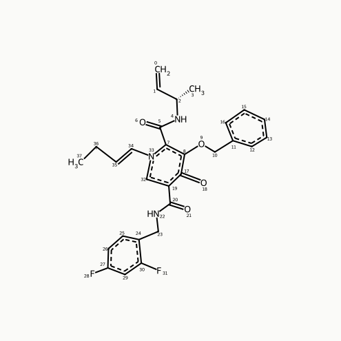 C=C[C@H](C)NC(=O)c1c(OCc2ccccc2)c(=O)c(C(=O)NCc2ccc(F)cc2F)cn1C=C[CH]C